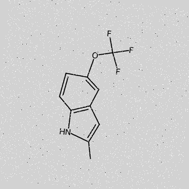 Cc1cc2cc(OC(F)(F)F)ccc2[nH]1